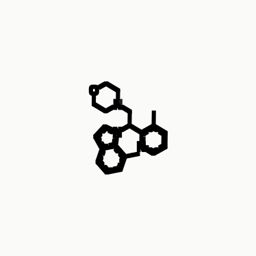 Cc1cccnc1C(CN1CCOCC1)n1ccc2cccc(C)c21